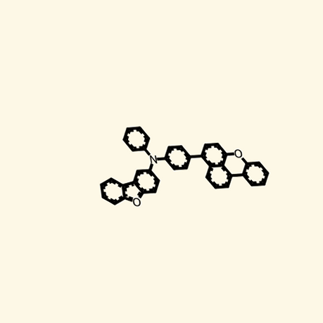 c1ccc(N(c2ccc(-c3ccc4c5c(cccc35)-c3ccccc3O4)cc2)c2ccc3oc4ccccc4c3c2)cc1